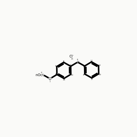 CCCCCCCCOc1ccc([I+]c2ccccc2)cc1.[Cl-]